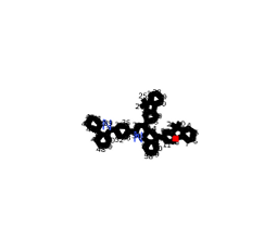 CC1(C)c2ccccc2-c2ccc(-c3cc4c(-c5ccc6c(c5)C(C)(C)c5ccccc5-6)cc(-c5ccc(-c6nc7ccccc7c7ccccc67)cc5)nc4c4ccccc34)cc21